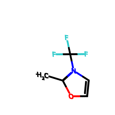 [CH2]C1OC=CN1C(F)(F)F